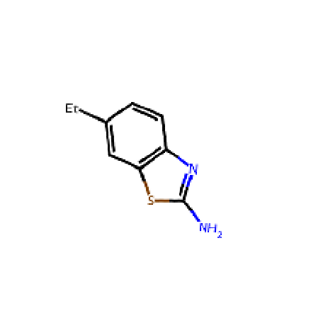 [CH2]Cc1ccc2nc(N)sc2c1